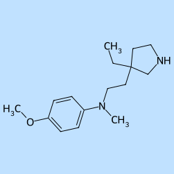 CCC1(CCN(C)c2ccc(OC)cc2)CCNC1